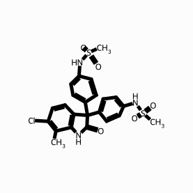 Cc1c(Cl)ccc2c1NC(=O)C2(c1ccc(NS(C)(=O)=O)cc1)c1ccc(NS(C)(=O)=O)cc1